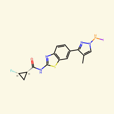 Cc1cn(PI)nc1-c1ccc2nc(NC(=O)[C@@H]3C[C@@H]3F)sc2c1